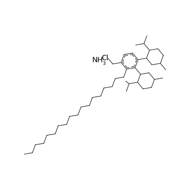 CCCCCCCCCCCCCCCCCCc1c(CCl)ccc(C2CC(C)CCC2C(C)C)c1C1CC(C)CCC1C(C)C.N